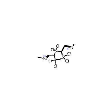 C/N=C/C1S(Cl)(Cl)CS(Cl)(Cl)C(/C=N/C)S1(Cl)Cl